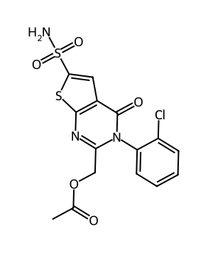 CC(=O)OCc1nc2sc(S(N)(=O)=O)cc2c(=O)n1-c1ccccc1Cl